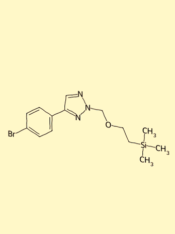 C[Si](C)(C)CCOCn1ncc(-c2ccc(Br)cc2)n1